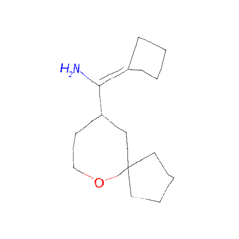 NC(=C1CCC1)C1CCOC2(CCCC2)C1